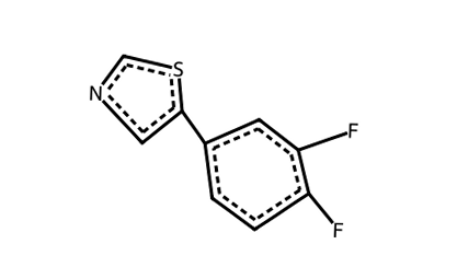 Fc1ccc(-c2cncs2)cc1F